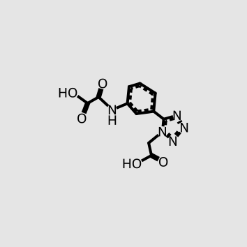 O=C(O)Cn1nnnc1-c1cccc(NC(=O)C(=O)O)c1